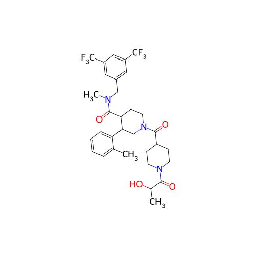 Cc1ccccc1C1CN(C(=O)C2CCN(C(=O)C(C)O)CC2)CCC1C(=O)N(C)Cc1cc(C(F)(F)F)cc(C(F)(F)F)c1